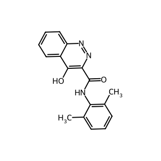 Cc1cccc(C)c1NC(=O)c1nnc2ccccc2c1O